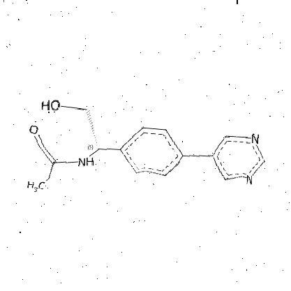 CC(=O)N[C@H](CO)c1ccc(-c2cncnc2)cc1